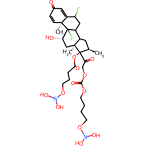 C[C@@H]1CC2C3C[C@H](F)C4=CC(=O)C=C[C@]4(C)[C@@]3(F)[C@@H](O)C[C@]2(C)[C@@]1(OC(=O)CCCON(O)O)C(=O)COC(=O)OCCCCON(O)O